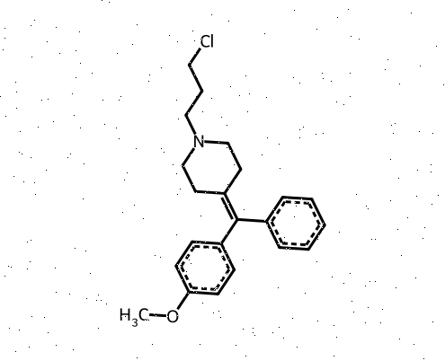 COc1ccc(C(=C2CCN(CCCCl)CC2)c2ccccc2)cc1